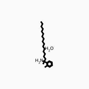 CCCCCCCCCCCCCCCCC(C)(N)c1ccccc1C.O